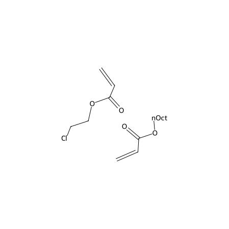 C=CC(=O)OCCCCCCCC.C=CC(=O)OCCCl